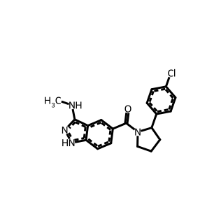 CNc1n[nH]c2ccc(C(=O)N3CCCC3c3ccc(Cl)cc3)cc12